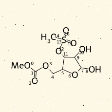 COC(=O)OCC1OC(O)C(O)C1OS(C)(=O)=O